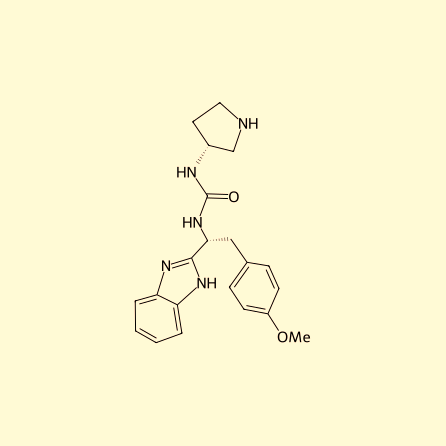 COc1ccc(C[C@@H](NC(=O)N[C@@H]2CCNC2)c2nc3ccccc3[nH]2)cc1